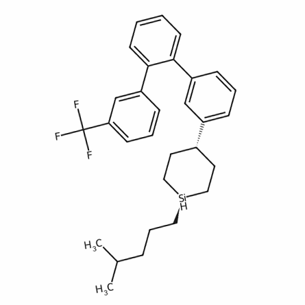 CC(C)CCC[Si@H]1CC[C@H](c2cccc(-c3ccccc3-c3cccc(C(F)(F)F)c3)c2)CC1